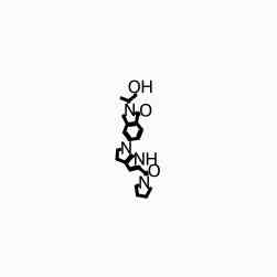 CC(CO)N1Cc2cc(N3CCc4cc(C(=O)N5CCCC5)[nH]c43)ccc2C1=O